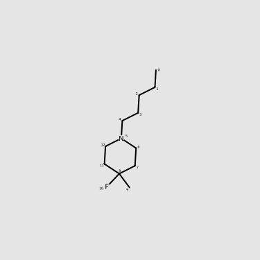 CCCCCN1CCC(C)(F)CC1